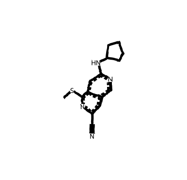 CSc1nc(C#N)cc2cnc(NC3CCCC3)cc12